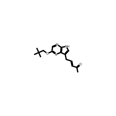 CC(=O)/C=C/Cc1c[nH]c2ncc(OCC(C)(C)C)nc12